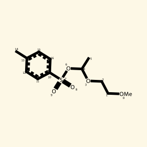 COCCOC(C)OS(=O)(=O)c1ccc(C)cc1